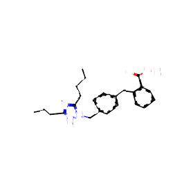 CCCCc1nc(CCC)nn1Cc1ccc(Cc2ccccc2C(=O)O)cc1